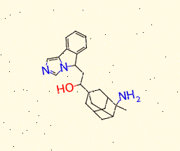 CC1(N)C2CC3CC1CC(C(O)CC1c4ccccc4-c4cncn41)(C3)C2